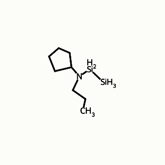 CCCN([SiH2][SiH3])C1CCCC1